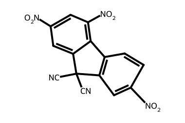 N#CC1(C#N)c2cc([N+](=O)[O-])ccc2-c2c([N+](=O)[O-])cc([N+](=O)[O-])cc21